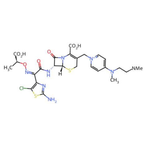 CNCCN(C)c1cc[n+](CC2=C(C(=O)O)N3C(=O)[C@@H](NC(=O)/C(=N\O[C@@H](C)C(=O)O)c4nc(N)sc4Cl)[C@H]3SC2)cc1